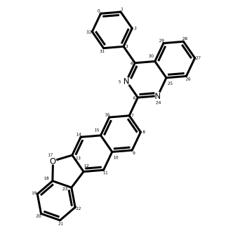 c1ccc(-c2nc(-c3ccc4cc5c(cc4c3)oc3ccccc35)nc3ccccc23)cc1